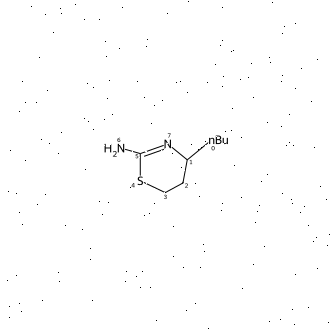 CCCCC1CCSC(N)=N1